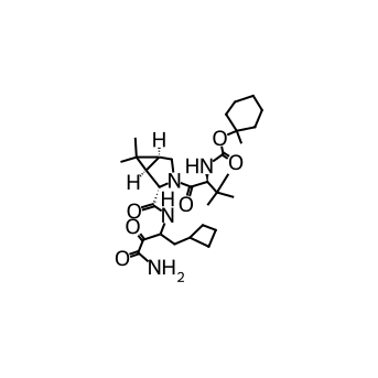 CC1(OC(=O)N[C@H](C(=O)N2C[C@H]3[C@@H]([C@H]2C(=O)NC(CC2CCC2)C(=O)C(N)=O)C3(C)C)C(C)(C)C)CCCCC1